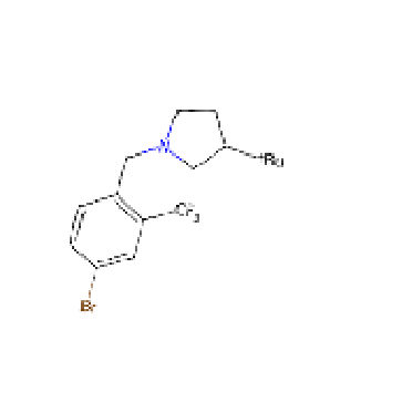 CC(C)(C)C1CCN(Cc2ccc(Br)cc2C(F)(F)F)C1